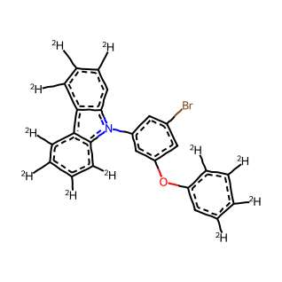 [2H]c1cc(Oc2cc(Br)cc(-n3c4cc([2H])c([2H])c([2H])c4c4c([2H])c([2H])c([2H])c([2H])c43)c2)c([2H])c([2H])c1[2H]